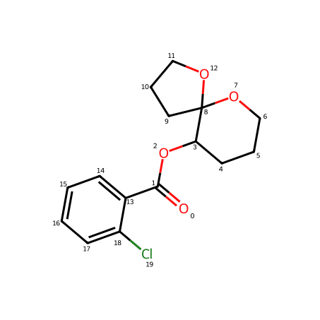 O=C(OC1CCCOC12CCCO2)c1ccccc1Cl